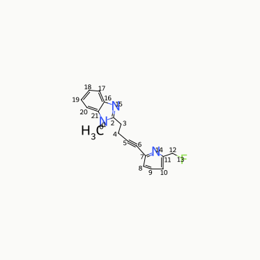 Cn1c(CCC#Cc2cccc(CF)n2)nc2ccccc21